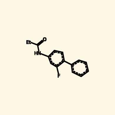 CCC(=O)Nc1ccc(-c2ccccc2)c(F)c1